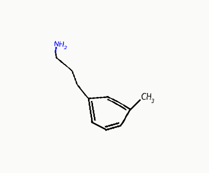 Cc1cccc(CCCN)c1